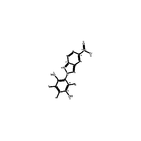 Cc1c(C)c(O)c(-n2cc3cc([N+](=O)[O-])ccc3n2)c(C)c1O